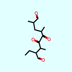 CCC(C=O)C(C)C(=O)C(=O)C(C)CC(C)C=O